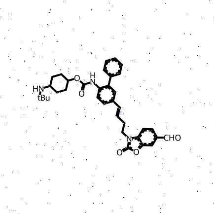 CC(C)(C)NC1CCC(OC(=O)Nc2ccc(/C=C/CCn3c(=O)oc4cc(C=O)ccc43)cc2-c2ccccc2)CC1